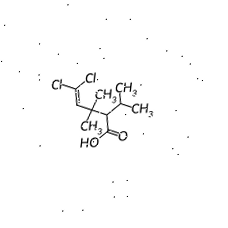 CC(C)C(C(=O)O)C(C)(C)C=C(Cl)Cl